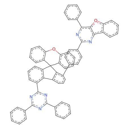 c1ccc(-c2nc(-c3ccccc3)nc(-c3cccc4c3-c3cccc(-c5ccc(-c6nc(-c7ccccc7)c7oc8ccccc8c7n6)cc5)c3C43c4ccccc4Oc4ccccc43)n2)cc1